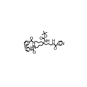 CC(C)(C)OC(=O)NC(CCCNC(=O)n1ccnc1)(CCCNC(=O)n1ccnc1)CCCNC(=O)n1ccnc1